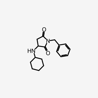 O=C1CC(NC2CCCCC2)C(=O)N1Cc1ccccc1